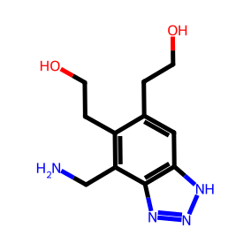 NCc1c(CCO)c(CCO)cc2[nH]nnc12